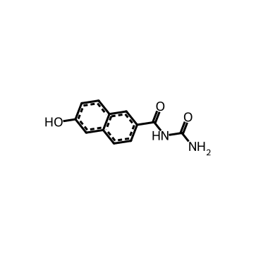 NC(=O)NC(=O)c1ccc2cc(O)ccc2c1